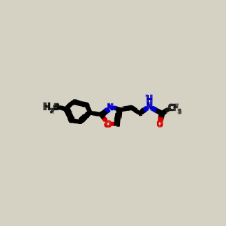 Bc1ccc(-c2nc(CCNC(=O)C(F)(F)F)co2)cc1